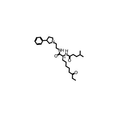 CCC(=O)CCCCC[C@H](NC(=O)CCC(C)C)C(=O)NCCN1CCC(c2ccccc2)C1